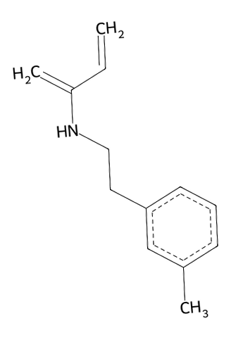 C=CC(=C)NCCc1cccc(C)c1